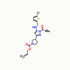 C=CCOC(=O)N1CCC(c2cc(NCc3ccc(Cl)s3)n(C(=O)C(C)(C)C)n2)C1